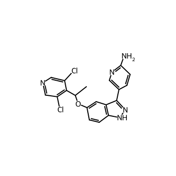 CC(Oc1ccc2[nH]nc(-c3ccc(N)nc3)c2c1)c1c(Cl)cncc1Cl